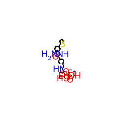 CCC(CC)(OC(=O)NCc1ccc(C(=O)Nc2cc(-c3cccs3)ccc2N)cc1)P(=O)(O)O